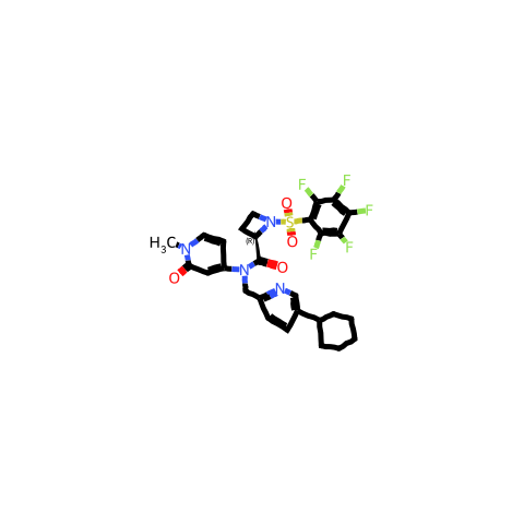 Cn1ccc(N(Cc2ccc(C3CCCCC3)cn2)C(=O)[C@H]2CCN2S(=O)(=O)c2c(F)c(F)c(F)c(F)c2F)cc1=O